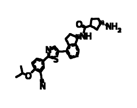 CC(C)Oc1ccc(-c2ncc(-c3cccc4c3CC[C@@H]4NC(=O)C3CC[C@H](N)C3)s2)cc1C#N